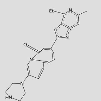 CCc1nc(C)cn2nc(C3=C\C(=O)N4C=C(N5CCNCC5)C=C\C4=C/C=C/3)cc12